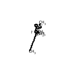 CCCCCCCCCCCCCCCCOc1ccc(CN(C(=O)c2ccc[n+](CCC)c2)c2ccccc2)cc1C(C)(C)C.[I-]